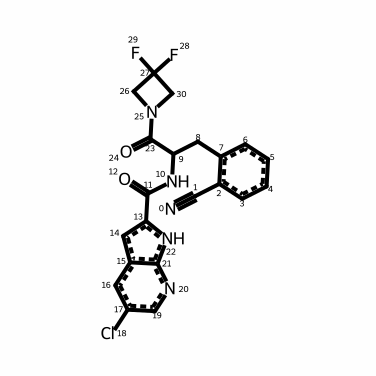 N#Cc1ccccc1CC(NC(=O)c1cc2cc(Cl)cnc2[nH]1)C(=O)N1CC(F)(F)C1